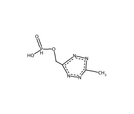 Cc1nnc(CO[PH](=O)O)nn1